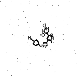 COc1ncc(-c2cc(-c3cnn(Cc4ccc(C#N)cc4)c3)c(C)nn2)c(OC)n1